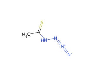 CC(=S)NN=[N+]=[N-]